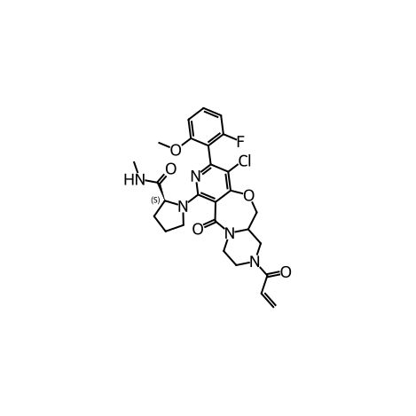 C=CC(=O)N1CCN2C(=O)c3c(N4CCC[C@H]4C(=O)NC)nc(-c4c(F)cccc4OC)c(Cl)c3OCC2C1